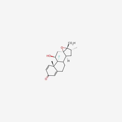 C[C@@H]1C[C@H]2C3CCC4=CC(=O)C=C[C@]4(C)[C@@]3(F)[C@@H](O)C[C@@]23O[C@]13C(=O)O